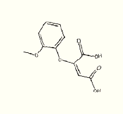 COc1ccccc1O/C(=C/C(=O)O)C(=O)O